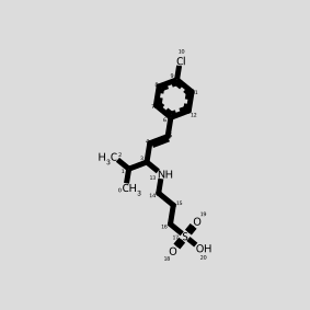 CC(C)C(/C=C/c1ccc(Cl)cc1)NCCCS(=O)(=O)O